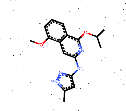 COc1cccc2c(OC(C)C)nc(Nc3cc(C)[nH]n3)cc12